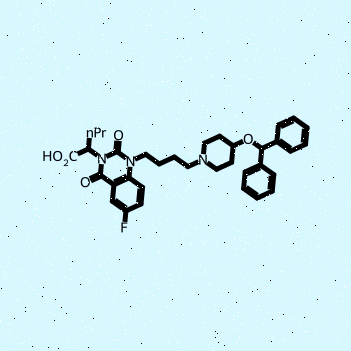 CCCC(C(=O)O)n1c(=O)c2cc(F)ccc2n(CCCCN2CCC(OC(c3ccccc3)c3ccccc3)CC2)c1=O